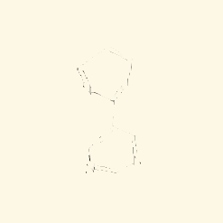 c1ccc(-c2cncnc2)nc1